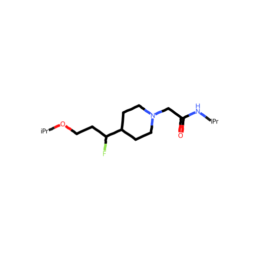 CC(C)NC(=O)CN1CCC(C(F)CCOC(C)C)CC1